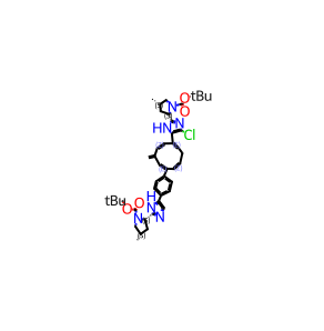 C=C1/C=C\C(c2[nH]c([C@@H]3C[C@H](C)CN3C(=O)OC(C)(C)C)nc2Cl)=C/C/C=C\C(c2ccc(-c3cnc([C@@H]4C[C@H](C)CN4C(=O)OC(C)(C)C)[nH]3)cc2)=C/1